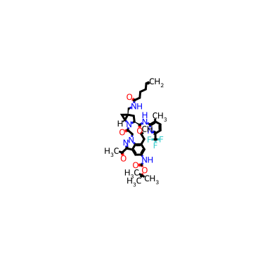 C=CCCCC(=O)NC[C@@]12C[C@@H](C(=O)Nc3nc(C(F)(F)F)ccc3C)N(C(=O)Cn3nc(C(C)=O)c4cc(NC(=O)OC(C)(C)C)cc(CC=C)c43)[C@@H]1C2